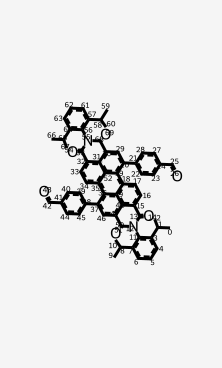 CC(C)c1cccc(C(C)C)c1N1C(=O)c2ccc3c4c(-c5ccc(C=O)cc5)cc5c6c(ccc(c7c(-c8ccc(C=O)cc8)cc(c2c37)C1=O)c64)C(=O)N(c1c(C(C)C)cccc1C(C)C)C5=O